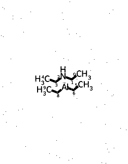 CCNCC.C[CH2][Al][CH2]C